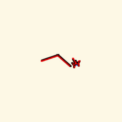 CCCCCCCCC1=C(c2cc(CCCC)cc(CCCC)c2)[N+](=[N-])C(c2cc(CCCC)cc(CCCC)c2)=C1CCCC.CCCCCCCCCCCCCCCCCCCCCCCCCCC[CH2][Ni][CH2]CCCCCCCCCCCCCCCCCCCCCCCCCCC